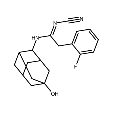 N#C/N=C(\Cc1ccccc1F)NC1C2CC3CC1CC(O)(C3)C2